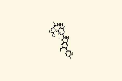 Cc1ccc(-c2cc(F)c([C@H](C)Nc3nccc(N4C(=O)OCC4[C@@H](C)N)n3)cc2F)cn1